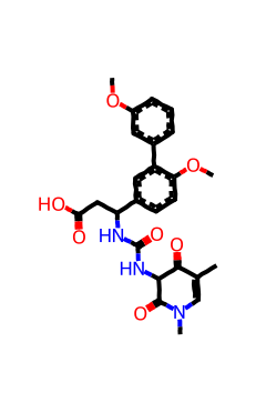 COc1cccc(-c2cc(C(CC(=O)O)NC(=O)NC3C(=O)C(C)=CN(C)C3=O)ccc2OC)c1